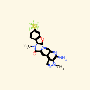 CN(C(=O)c1cc2c(cn1)nc(N)c1c2cnn1C)[C@@H]1COc2cc(S(F)(F)(F)(F)F)ccc21